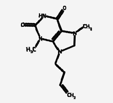 C=CCCN1CN(C)c2c1n(C)c(=O)[nH]c2=O